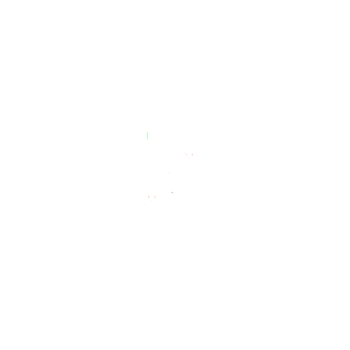 COC(C)(OC)C(=O)OCl